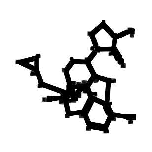 CCC1CCN(C2CC[C@@]3(O)[C@H]4Cc5ccc(O)c6c5[C@@]3(CCN4CC3CC3)C2O6)C1=O